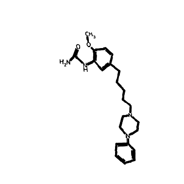 COc1ccc(CCCCCN2CCN(c3ccccc3)CC2)cc1NC(N)=O